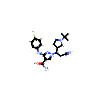 CC(C)(C)N1CCC(C(CC#N)n2cc(C(N)=O)c(Nc3ccc(F)cc3)n2)C1